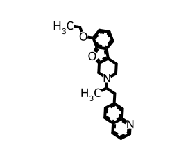 CCOc1cccc2c3c(oc12)CN(C(C)Cc1ccc2cccnc2c1)CC3